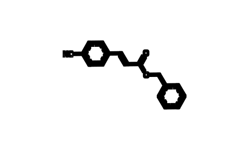 N#Cc1ccc(/C=C/C(=O)OCc2ccccc2)cc1